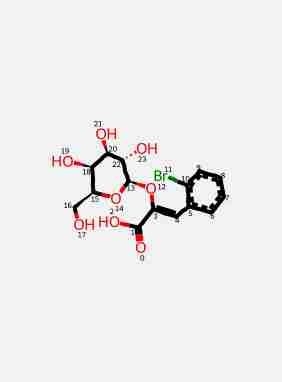 O=C(O)C(=Cc1ccccc1Br)O[C@H]1O[C@@H](CO)[C@@H](O)[C@@H](O)[C@@H]1O